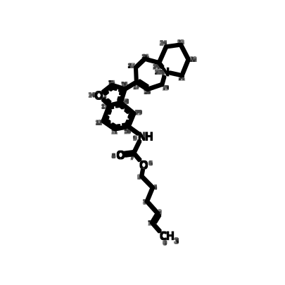 CC=CCCCOC(=O)Nc1ccc2occ(C3=CCN4CCCCC4CC3)c2c1